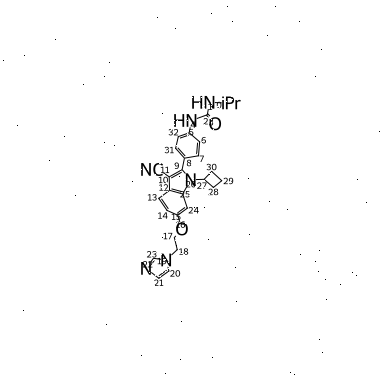 CC(C)NC(=O)Nc1ccc(-c2c(C#N)c3ccc(OCCn4ccnc4)cc3n2C2CCC2)cc1